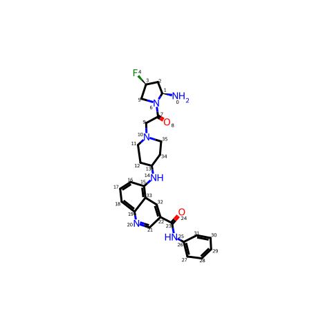 N[C@@H]1C[C@H](F)CN1C(=O)CN1CCC(Nc2cccc3ncc(C(=O)Nc4ccccc4)cc23)CC1